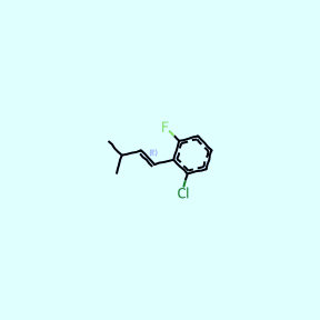 CC(C)/C=C/c1c(F)cccc1Cl